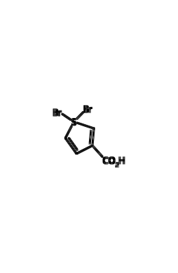 O=C(O)C1=CS(Br)(Br)C=C1